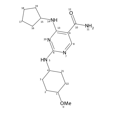 COC1CCC(Nc2ncc(C(N)=O)c(NC3CCCC3)n2)CC1